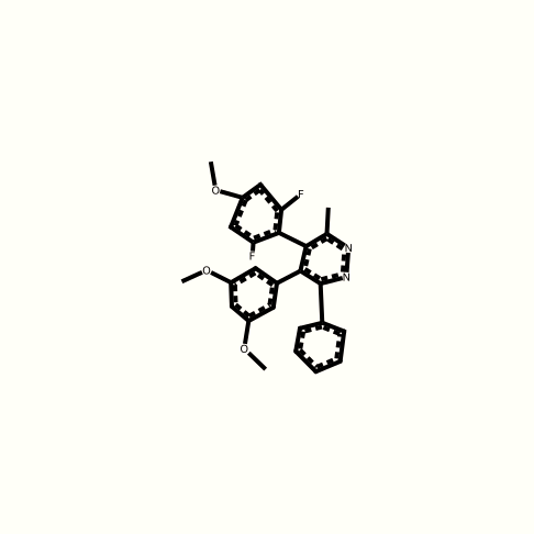 COc1cc(OC)cc(-c2c(-c3ccccc3)nnc(C)c2-c2c(F)cc(OC)cc2F)c1